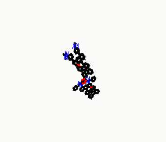 Cc1nc2ccc(-c3cccc4c(-c5cccc6c5-c5ccccc5C65c6ccccc6-c6cc(-c7ccc8c(c7)nc(-c7ccccc7)n8-c7cccc8c(-c9cccc%10c9-c9ccccc9C%109c%10ccccc%10-c%10ccccc%109)c9cccc(-n%10c(-c%11ccccc%11)nc%11ccccc%11%10)c9cc78)ccc65)c5cccc(-c6ccc7nc(C)n(C)c7c6)c5cc34)cc2n1C